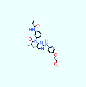 C=CC(=O)Nc1cccc(N2C(=O)C(C)Cc3cnc(Nc4ccc(OCCOC)cc4)nc32)c1